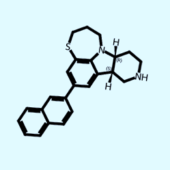 c1ccc2cc(-c3cc4c5c(c3)[C@H]3CNCC[C@H]3N5CCCS4)ccc2c1